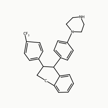 FC(F)(F)c1ccc(C2CCc3ccccc3C2c2ccc(N3CCNCC3)cc2)cc1